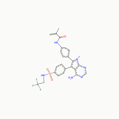 C=C(C)C(=O)Nc1ccc(-c2c(-c3ccc(S(=O)(=O)NCC(F)(F)F)cc3)c3c(N)ncnc3n2C)cc1